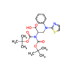 CC(C)(C)OC(=O)N(C(=O)OC(C)(C)C)C(CN(c1ccccc1)c1nccs1)C(=O)O